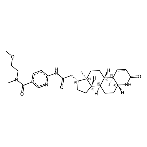 COCCN(C)C(=O)c1ccc(NC(=O)C[C@H]2CC[C@H]3[C@@H]4CC[C@H]5NC(=O)C=C[C@]5(C)[C@H]4CC[C@]23C)nc1